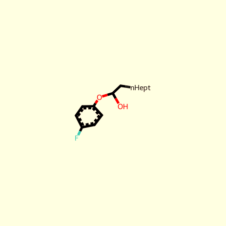 CCCCCCCCC(O)Oc1ccc(F)cc1